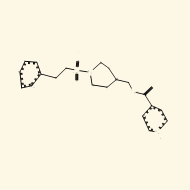 O=C(NCC1CCN(S(=O)(=O)CCc2ccccc2)CC1)c1ccncc1